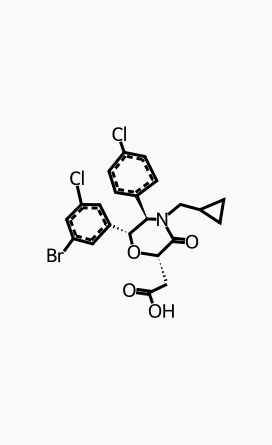 O=C(O)C[C@@H]1O[C@H](c2cc(Cl)cc(Br)c2)[C@@H](c2ccc(Cl)cc2)N(CC2CC2)C1=O